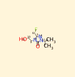 CC(C)n1nc(CF)n(CCO)c1=O